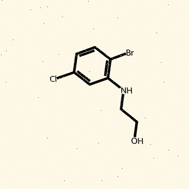 OCCNc1cc(Cl)ccc1Br